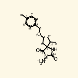 Cc1ccc(COCCC2(C(C)C)NC(=O)N(N)C2=O)cc1